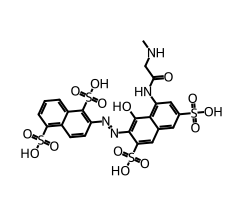 CNCC(=O)Nc1cc(S(=O)(=O)O)cc2cc(S(=O)(=O)O)c(N=Nc3ccc4c(S(=O)(=O)O)cccc4c3S(=O)(=O)O)c(O)c12